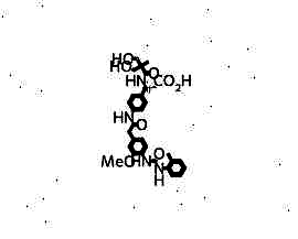 COc1cc(CC(=O)Nc2ccc([C@@H](CC(=O)O)NC(=O)C(C)(CO)CO)cc2)ccc1NC(=O)Nc1ccccc1C